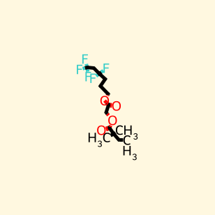 CCC(C)(C)C(=O)OCC(=O)OCCCC(F)(F)CC(F)(F)F